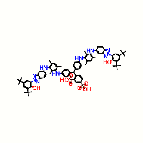 Cc1cc(C)c(Nc2ccc3nn(-c4cc(C(C)(C)C)cc(C(C)(C)C)c4O)nc3c2)c(C)c1Nc1ccc(C(c2ccc(Nc3c(C)cc(C)c(Nc4ccc5nn(-c6cc(C(C)(C)C)cc(C(C)(C)C)c6O)nc5c4)c3C)cc2)c2ccc(S(=O)(=O)O)cc2S(=O)(=O)O)cc1